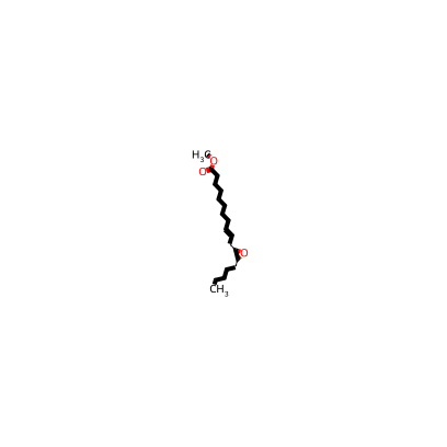 CCCCC[C@H]1O[C@H]1CC=CCCCCCCCC(=O)OC